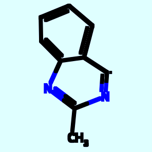 Cc1n[c]c2ccccc2n1